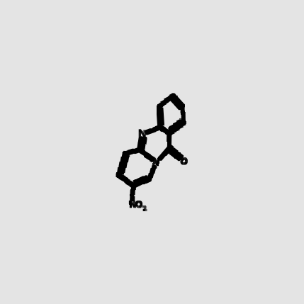 O=c1c2ccccc2nc2ccc([N+](=O)[O-])cn12